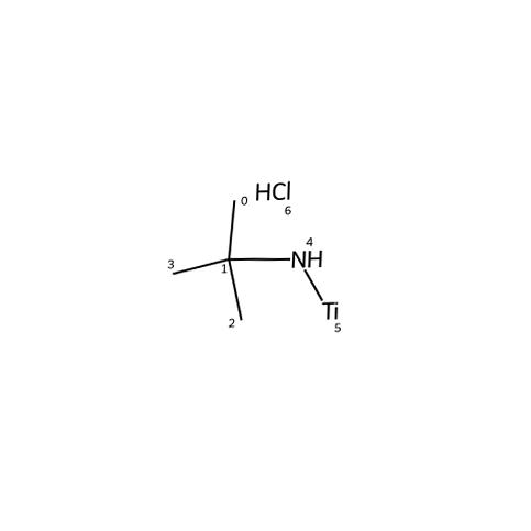 CC(C)(C)[NH][Ti].Cl